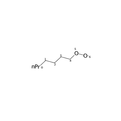 [CH2]CCCCCCO[O]